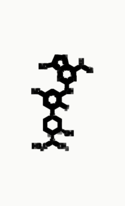 CCNc1nc(Nc2cc(C#N)cc(N3CC[C@@H](N(C)C(=O)O)[C@@H](O)C3)c2F)nn2c(C#N)cnc12